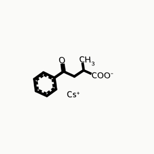 CC(CC(=O)c1ccccc1)C(=O)[O-].[Cs+]